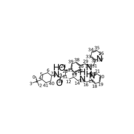 CC(C)(C)C1CCC(NC(=O)[C@@H](CCCNCc2ccccn2)C(=O)c2ccc(CNCc3ccccn3)cc2)CC1